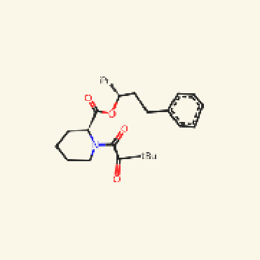 CC(C)[C@@H](CCc1ccccc1)OC(=O)[C@@H]1CCCCN1C(=O)C(=O)C(C)(C)C